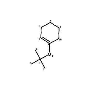 CC(C)(C)OC1=CCCCC1